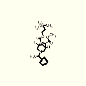 COC(=O)[C@H]1[C@H]2C[C@H](CN(C(C)c3ccccc3)C2)N1C(=O)OCC[Si](C)(C)C